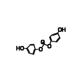 O=C(Oc1ccc(O)cc1)Oc1ccc(O)cc1